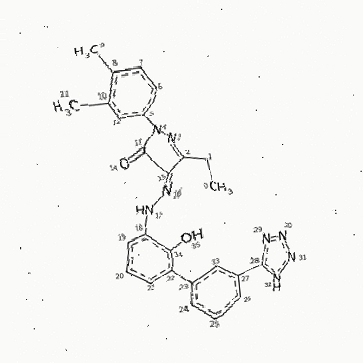 CCC1=NN(c2ccc(C)c(C)c2)C(=O)C1=NNc1cccc(-c2cccc(-c3nnn[nH]3)c2)c1O